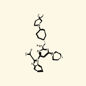 FC(F)c1nc2ccccc2n1-c1cc(N2CCOCC2)nc(NC[C@H]2CC[C@H](N3CCC(F)(F)C3)CC2)n1